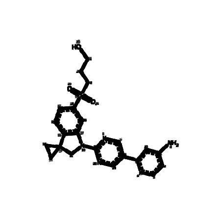 Nc1ccnc(-c2cnc(N3CC4(CC4)c4ccc(S(=O)(=O)CCCO)cc43)nc2)c1